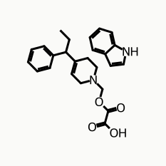 CCC(C1=CCN(COC(=O)C(=O)O)CC1)c1ccccc1.c1ccc2[nH]ccc2c1